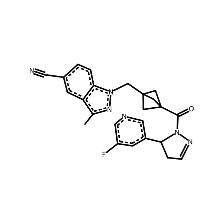 Cc1nn(CC23CC(C(=O)N4N=CCC4c4cncc(F)c4)(C2)C3)c2ccc(C#N)cc12